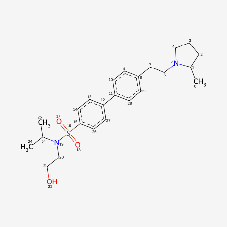 CC1CCCN1CCc1ccc(-c2ccc(S(=O)(=O)N(CCO)C(C)C)cc2)cc1